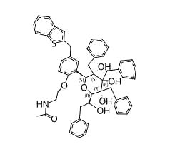 CC(=O)NCCOc1ccc(Cc2cc3ccccc3s2)cc1[C@@H]1O[C@H](C(O)Cc2ccccc2)[C@](O)(Cc2ccccc2)[C@@](O)(Cc2ccccc2)[C@]1(O)Cc1ccccc1